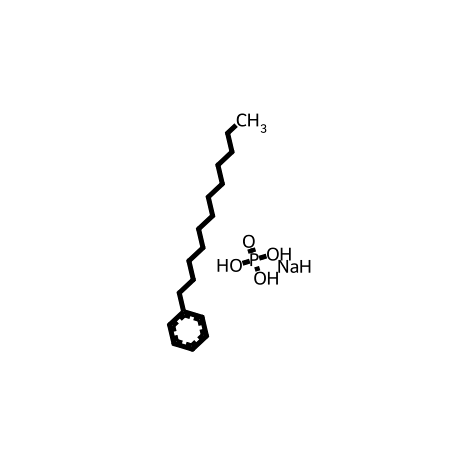 CCCCCCCCCCCCc1ccccc1.O=P(O)(O)O.[NaH]